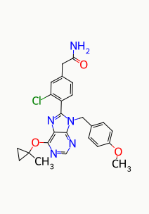 COc1ccc(Cn2c(-c3ccc(CC(N)=O)cc3Cl)nc3c(OC4(C)CC4)ncnc32)cc1